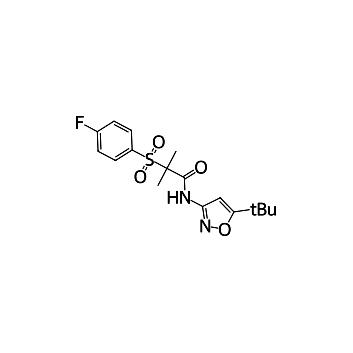 CC(C)(C)c1cc(NC(=O)C(C)(C)S(=O)(=O)c2ccc(F)cc2)no1